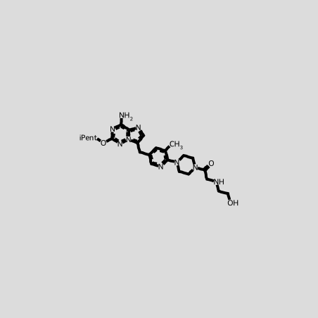 CCCC(C)Oc1nc(N)c2ncc(Cc3cnc(N4CCN(C(=O)CNCCO)CC4)c(C)c3)n2n1